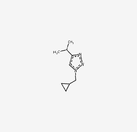 CC(C)c1cn(CC2CC2)nn1